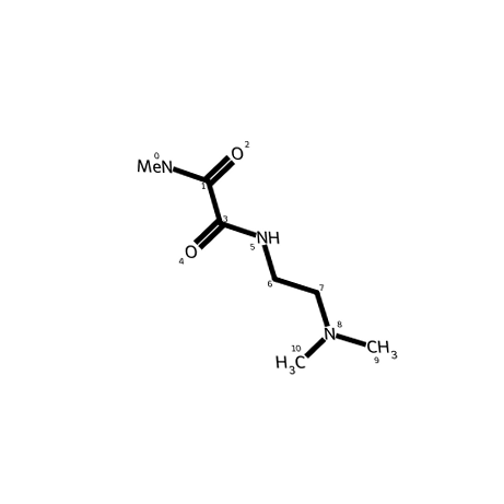 CNC(=O)C(=O)NCCN(C)C